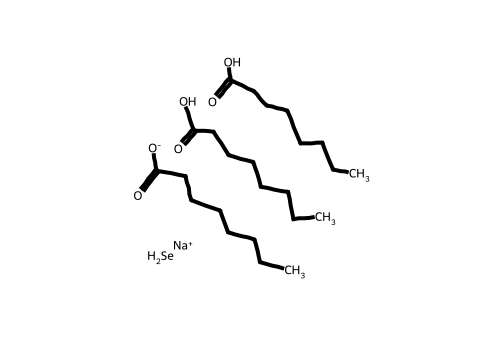 CCCCCCCC(=O)O.CCCCCCCC(=O)O.CCCCCCCC(=O)[O-].[Na+].[SeH2]